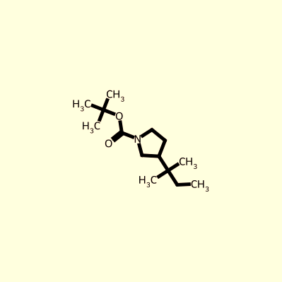 CCC(C)(C)C1CCN(C(=O)OC(C)(C)C)C1